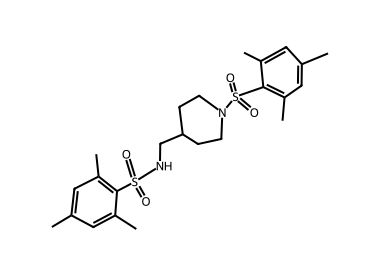 Cc1cc(C)c(S(=O)(=O)NCC2CCN(S(=O)(=O)c3c(C)cc(C)cc3C)CC2)c(C)c1